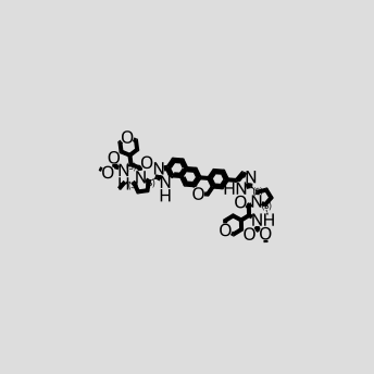 CC[C@H]1CC[C@@H](c2nc3ccc4cc5c(cc4c3[nH]2)OCc2cc(-c3cnc([C@@H]4CC[C@H](C)N4C(=O)C(NC(=O)OC)C4CCOCC4)[nH]3)ccc2-5)N1C(=O)[C@@H](NC(=O)OC)C1CCOCC1